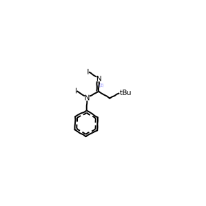 CC(C)(C)C/C(=N/I)N(I)c1ccccc1